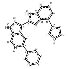 c1cncc(-c2cc3c(-c4cc5c(-c6ccoc6)cncc5[nH]4)n[nH]c3cn2)c1